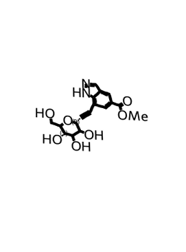 COC(=O)c1cc(C#C[C@H]2OC(CO)[C@@H](O)C(O)C2O)c2[nH]ncc2c1